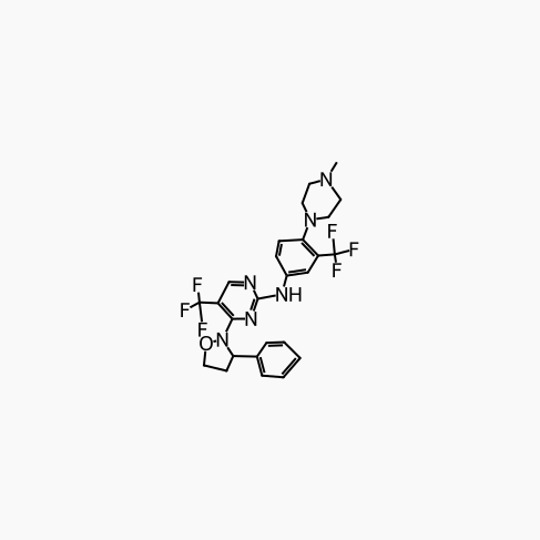 CN1CCN(c2ccc(Nc3ncc(C(F)(F)F)c(N4OCCC4c4ccccc4)n3)cc2C(F)(F)F)CC1